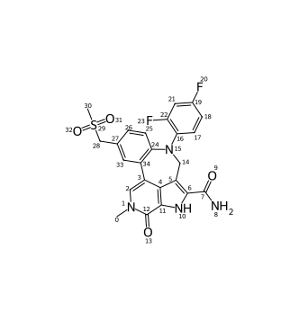 Cn1cc2c3c(c(C(N)=O)[nH]c3c1=O)CN(c1ccc(F)cc1F)c1ccc(CS(C)(=O)=O)cc1-2